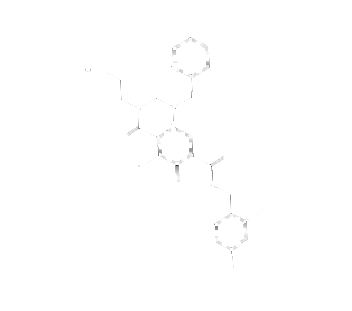 COCCN1CN(Cc2ccccn2)n2cc(C(=O)NCc3ccc(F)cc3F)c(=O)c(O)c2C1=O